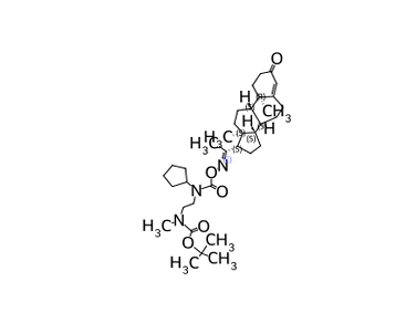 C/C(=N\OC(=O)N(CCN(C)C(=O)OC(C)(C)C)C1CCCC1)[C@H]1CC[C@H]2[C@@H]3CCC4=CC(=O)CC[C@]4(C)[C@H]3CC[C@]12C